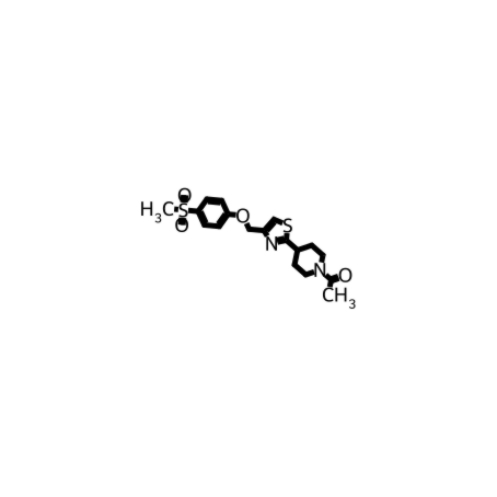 CC(=O)N1CCC(c2nc(COc3ccc(S(C)(=O)=O)cc3)cs2)CC1